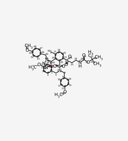 COc1ccc(CN(Cc2ccc(OC)cc2)S(=O)(=O)c2c(S(=O)(=O)CCNC(=O)OC(C)(C)C)ccc(I)c2-c2nnnn2Cc2ccc(OC)cc2)cc1